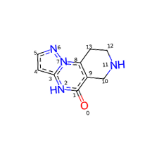 O=c1[nH]c2ccnn2c2c1CNCC2